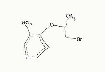 CC(CBr)Oc1ccccc1[N+](=O)[O-]